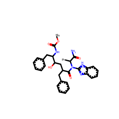 CC(C)C(C(N)=O)N(C(=O)C(Cc1ccccc1)CC(O)C(Cc1ccccc1)NC(=O)OC(C)(C)C)c1nc2ccccc2[nH]1